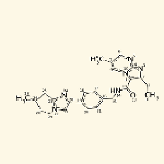 CCc1nc2ncc(C)cn2c1C(=O)NCc1ccc(-c2cn3c(n2)CC(C)CC3)cc1